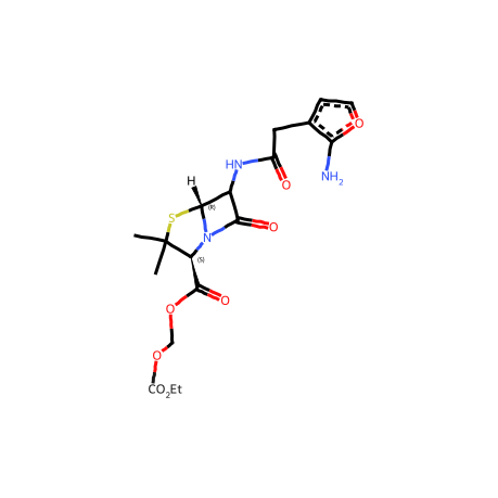 CCOC(=O)OCOC(=O)[C@@H]1N2C(=O)C(NC(=O)Cc3ccoc3N)[C@H]2SC1(C)C